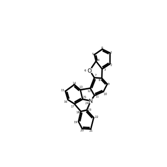 c1ccc2c(c1)oc1c2ccc2c1c1cccc3c4ccccc4n2c31